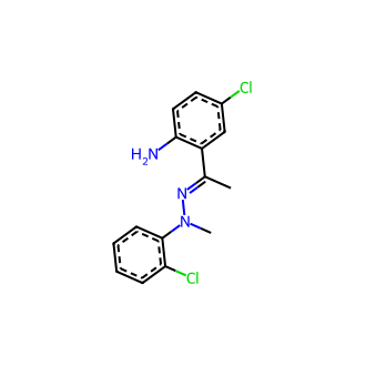 C/C(=N\N(C)c1ccccc1Cl)c1cc(Cl)ccc1N